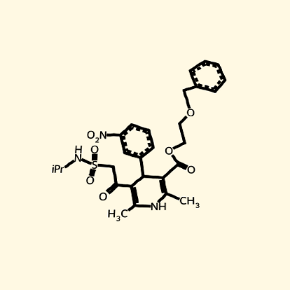 CC1=C(C(=O)CS(=O)(=O)NC(C)C)C(c2cccc([N+](=O)[O-])c2)C(C(=O)OCCOCc2ccccc2)=C(C)N1